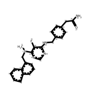 CN(Cc1cccc2ccccc12)c1ncnc(NCc2ccc(CC(N)=O)cc2)c1F